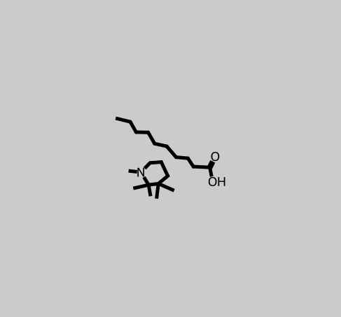 CCCCCCCCCC(=O)O.CN1CCCC(C)(C)C1(C)C